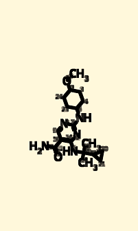 COC1CCC(Nc2ncc(C(N)=O)c(NC(C)(C)C3CC3)n2)CC1